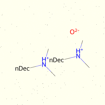 CCCCCCCCCC[NH+](C)C.CCCCCCCCCC[NH+](C)C.[O-2]